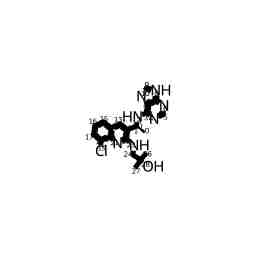 C[C@H](Nc1ncnc2[nH]cnc12)c1cc2cccc(Cl)c2nc1NCC(C)(C)O